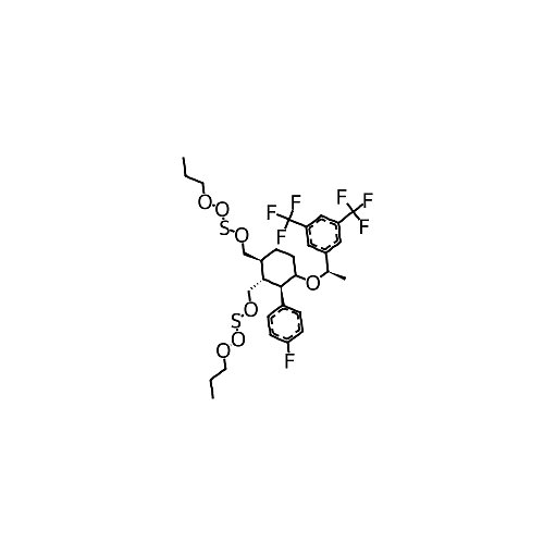 CCCOOSOC[C@H]1CCC(O[C@H](C)c2cc(C(F)(F)F)cc(C(F)(F)F)c2)[C@@H](c2ccc(F)cc2)[C@@H]1COSOOCCC